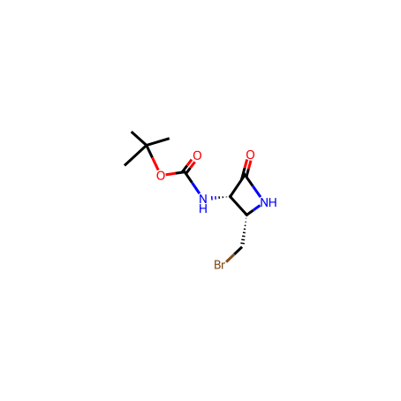 CC(C)(C)OC(=O)N[C@@H]1C(=O)N[C@@H]1CBr